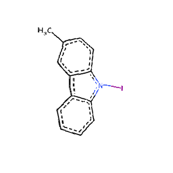 Cc1ccc2c(c1)c1ccccc1n2I